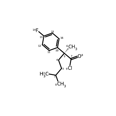 CC(C)CC[C@](C)(C(=O)Cl)c1ccc(F)cc1